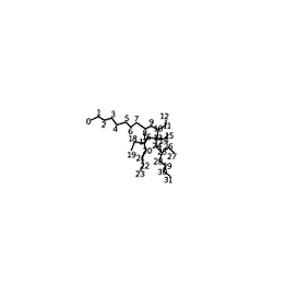 CCCCCCCCCCC(CC)C(CC)(CC(CC)CCCC)CC(CC)CCCC